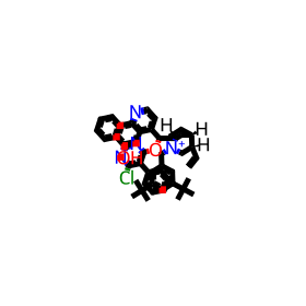 C=C[C@H]1C[N+]2(Cc3cc(C(C)(C)C)cc(C(C)(C)C)c3)CC[C@H]1C[C@@H]2C(Oc1nc(-c2ccccc2)nc(Cl)c1-c1ccccc1)c1ccnc2ccc(O)cc12